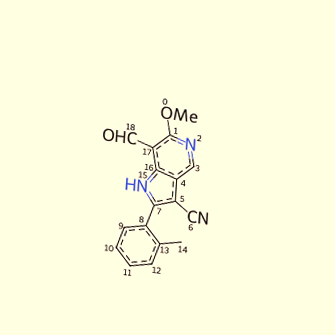 COc1ncc2c(C#N)c(-c3ccccc3C)[nH]c2c1C=O